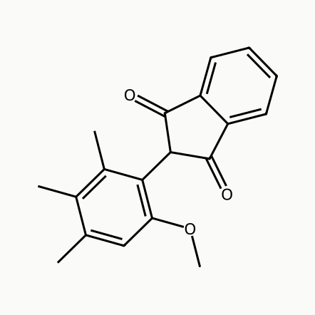 COc1cc(C)c(C)c(C)c1C1C(=O)c2ccccc2C1=O